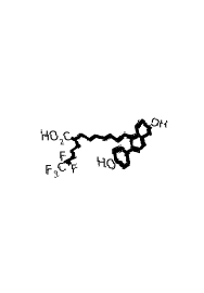 O=C(O)C(CCCCCCCc1c(-c2ccc(O)cc2)ccc2cc(O)ccc12)CCCC(F)(F)C(F)(F)F